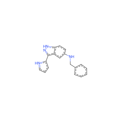 c1ccc(CNc2ccc3[nH]nc(-c4ccc[nH]4)c3c2)cc1